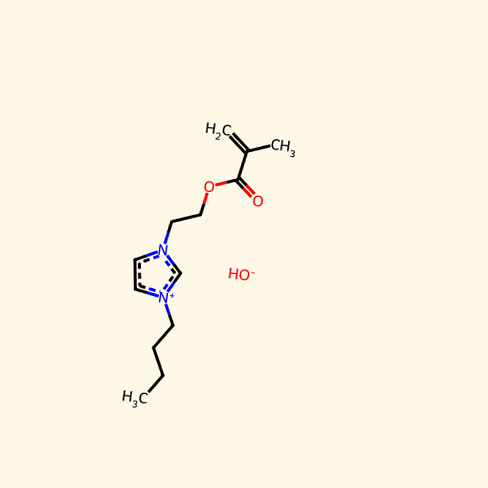 C=C(C)C(=O)OCCn1cc[n+](CCCC)c1.[OH-]